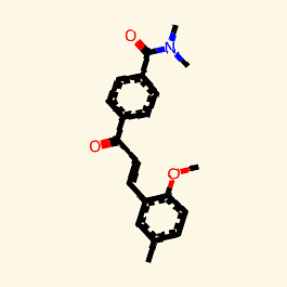 COc1ccc(C)cc1C=CC(=O)c1ccc(C(=O)N(C)C)cc1